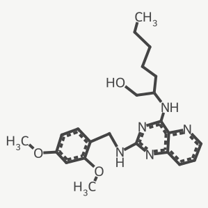 CCCCCC(CO)Nc1nc(NCc2ccc(OC)cc2OC)nc2cccnc12